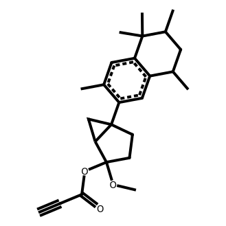 C#CC(=O)OC1(OC)CCC2(c3cc4c(cc3C)C(C)(C)C(C)CC4C)CC12